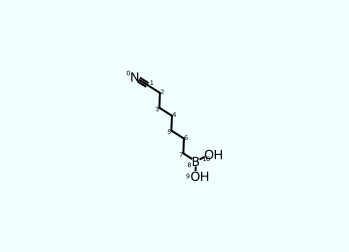 N#CCCCCCCB(O)O